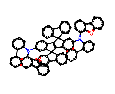 c1ccc(-c2ccccc2N(c2ccc3c(c2)C2(C4=C3C3(c5cc(N(c6ccccc6-c6ccccc6)c6cccc7c6oc6ccccc67)ccc54)c4ccccc4-c4ccccc43)c3ccccc3-c3ccccc32)c2cccc3c2oc2ccccc23)cc1